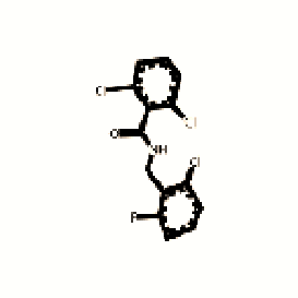 O=C(NCc1c(F)cccc1Cl)c1c(Cl)cccc1Cl